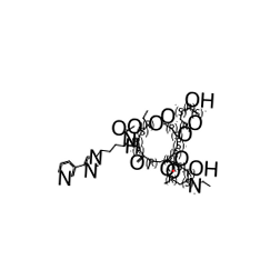 CC[C@H]1OC(=O)[C@H](C)[C@@H](O[C@H]2C[C@H](C)[C@@H](O)[C@H](C)O2)[C@H](C)[C@@H](O[C@@H]2O[C@H](C)C[C@H](N(C)CC)[C@H]2O)[C@](C)(OC)C[C@@H](C)C(=O)[C@H](C)[C@H]2N(CCCCn3cnc(-c4cccnc4)c3)C(=O)O[C@]12C